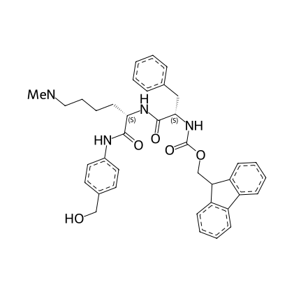 CNCCCC[C@H](NC(=O)[C@H](Cc1ccccc1)NC(=O)OCC1c2ccccc2-c2ccccc21)C(=O)Nc1ccc(CO)cc1